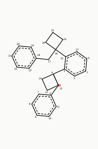 [c]1ccc(C2(Cc3ccccc3)CCC2)c(C2(Cc3ccccc3)CCC2)c1